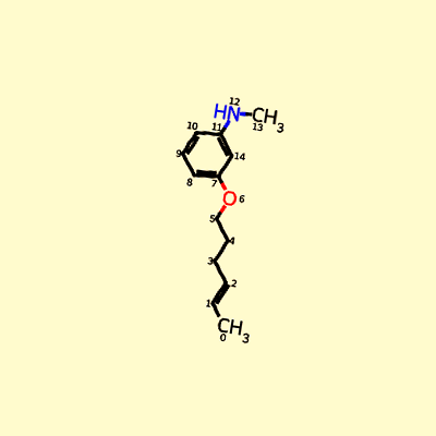 CC=CCCCOc1cccc(NC)c1